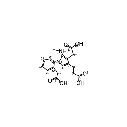 CNc1[nH]cc(CCC(=O)O)c1CC(=O)O.O=C(O)Cc1ccccc1